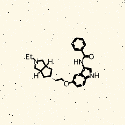 CCN1C[C@H]2C[C@@H](CCOc3ccc4[nH]cc(NC(=O)c5ccccc5)c4c3)C[C@H]2C1